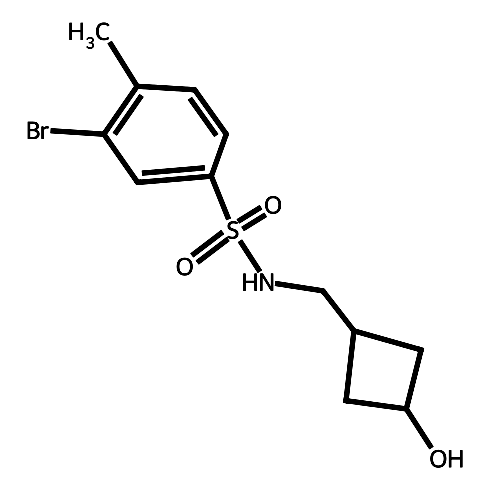 Cc1ccc(S(=O)(=O)NCC2CC(O)C2)cc1Br